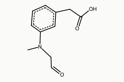 CN(CC=O)c1cccc(CC(=O)O)c1